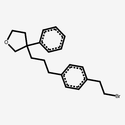 BrCCc1ccc(CCCC2(c3ccccc3)CCOC2)cc1